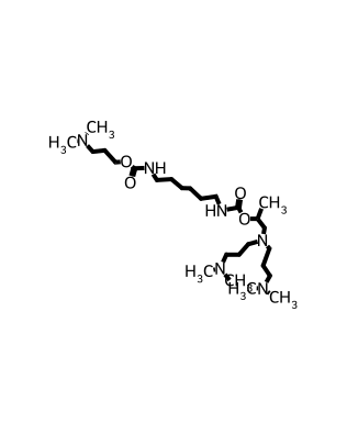 CC(CN(CCCN(C)C)CCCN(C)C)OC(=O)NCCCCCCNC(=O)OCCCN(C)C